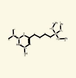 CC(C)O[Si](CCCCc1cn(S)[nH]n(N(C)C)s1)(OC(C)C)OC(C)C